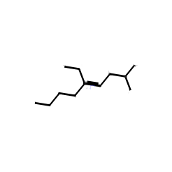 CCCC/C(=C/CC(C)C)CC